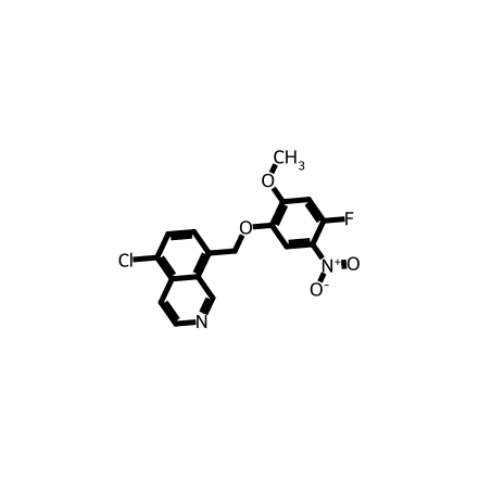 COc1cc(F)c([N+](=O)[O-])cc1OCc1ccc(Cl)c2ccncc12